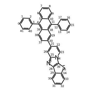 c1ccc(-c2c3ccccc3c(-c3ccccc3)c3cc(-c4ccn5c(c4)nc4c6ccccc6sc45)ccc23)cc1